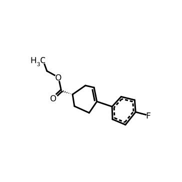 CCOC(=O)[C@@H]1CC=C(c2ccc(F)cc2)CC1